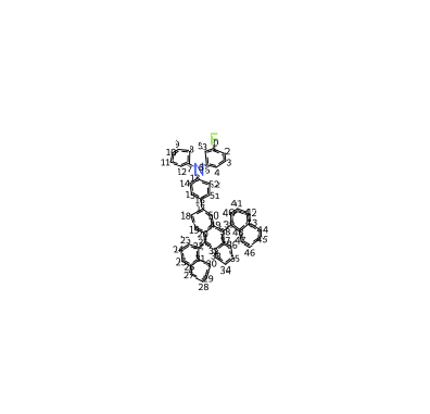 Fc1cccc(N(c2ccccc2)c2ccc(-c3ccc4c(-c5cccc6ccccc56)c5ccccc5c(-c5cccc6ccccc56)c4c3)cc2)c1